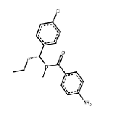 CCC[C@H](c1ccc(Cl)cc1)N(C)C(=O)c1ccc(N)cc1